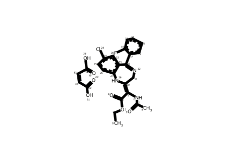 CCOC(=O)/C(NC(C)=O)=C1/CN=C(c2ccccc2F)c2cc(Cl)ccc2N1.O=C(O)/C=C\C(=O)O